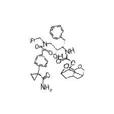 CC(C)CN(C[C@@H](O)[C@H](Cc1ccccc1)NC(=O)OC1C2COC3OC1CC3C2)S(=O)(=O)c1ccc(C2(C(N)=O)CC2)cc1